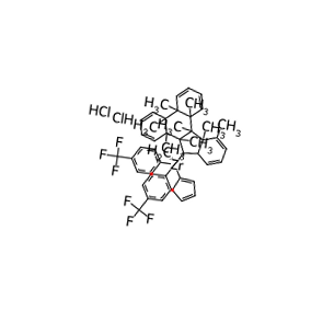 Cl.Cl.[CH2]=[Zr]([C]1=CC=CC1)([c]1ccc(C(F)(F)F)cc1)([c]1ccc(C(F)(F)F)cc1)[CH]1C2C=CC=C(C)C2(C)C2(C)C3(C)C=CC=CC3(C)C3(C)C=CC=CC3(C)C12C